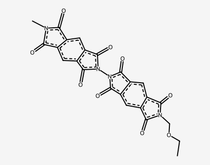 CCOCn1c(=O)c2cc3c(=O)n(-n4c(=O)c5cc6c(=O)n(C)c(=O)c6cc5c4=O)c(=O)c3cc2c1=O